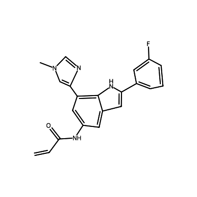 C=CC(=O)Nc1cc(-c2cn(C)cn2)c2[nH]c(-c3cccc(F)c3)cc2c1